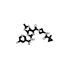 Cc1nc2nc(N[C@@H](C)c3cncc(F)c3)nc(C(=O)N3CC(NC(=O)C4(C)CC4)C3)c2s1